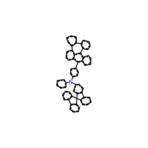 c1ccc(N(c2ccc(-c3c4ccccc4c4c5c(cccc35)-c3ccccc3-c3ccccc3-4)cc2)c2ccc3c(c2)C2(c4ccccc4-c4ccccc42)c2ccccc2-3)cc1